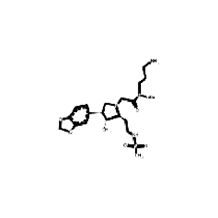 CCCCN(CCCN)C(=O)CN1C[C@H](c2ccc3c(c2)OCO3)[C@@H](C)[C@@H]1CCNS(C)(=O)=O